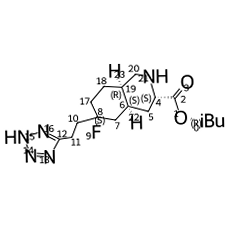 CC[C@@H](C)OC(=O)[C@@H]1C[C@H]2C[C@@](F)(CCc3nn[nH]n3)CC[C@H]2CN1